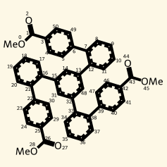 COC(=O)c1ccc(-c2ccccc2-c2cc(-c3ccccc3-c3ccc(C(=O)OC)cc3)cc(-c3ccccc3-c3ccc(C(=O)OC)cc3)c2)cc1